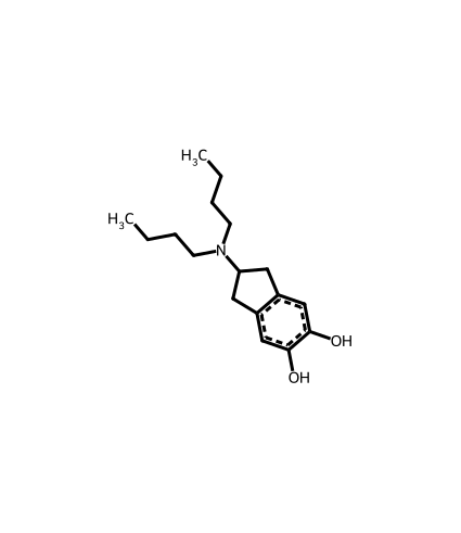 CCCCN(CCCC)C1Cc2cc(O)c(O)cc2C1